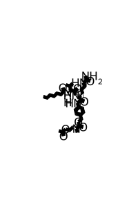 CCCCCCC(=O)N[C@H](C(=O)N[C@@H](CCCNC(N)=O)C(=O)Nc1ccc(COC(=O)N(C)CCOC(C)=O)cc1)C(C)C